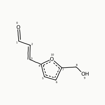 O=CC=Cc1ccc(CO)o1